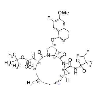 COc1cc2ccnc(O[C@@H]3C[C@H]4C(=O)N[C@]5(C(=O)NS(=O)(=O)C6(C(F)F)CC6)C[C@H]5/C=C\CC[C@@H](C)C[C@@H](C)[C@H](NC(=O)OC(C)(C)C(F)(F)F)C(=O)N4C3)c2cc1F